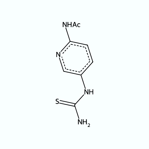 CC(=O)Nc1ccc(NC(N)=S)cn1